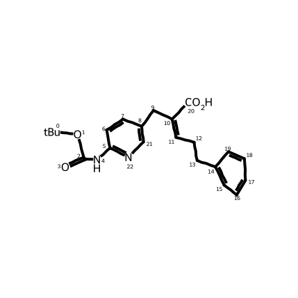 CC(C)(C)OC(=O)Nc1ccc(CC(=CCCc2ccccc2)C(=O)O)cn1